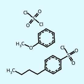 CCCCc1ccc(S(=O)(=O)Cl)cc1.COc1ccccc1.O=S(=O)(Cl)Cl